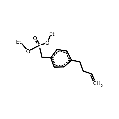 C=CCCc1ccc(CP(=O)(OCC)OCC)cc1